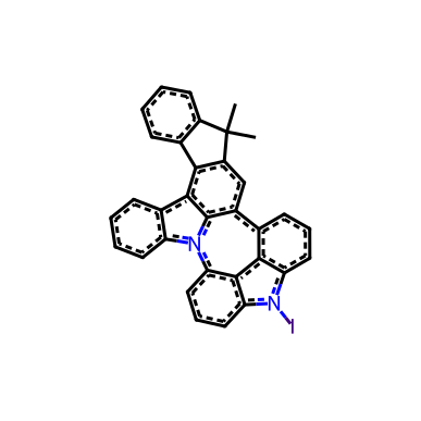 CC1(C)c2ccccc2-c2c1cc1c3cccc4c3c3c(cccc3n3c5ccccc5c2c13)n4I